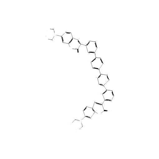 CCN(CC)c1ccc2cc(-c3cccc(-c4ccc(-c5ccc(-c6cccc(-c7cc8ccc(N(CC)CC)cc8oc7=O)c6)cc5)cc4)c3)c(=O)oc2c1